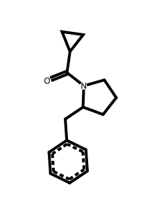 O=C(C1CC1)N1CCCC1Cc1ccccc1